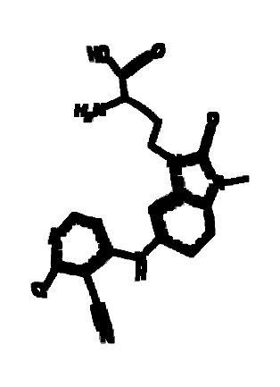 Cn1c(=O)n(CCC(N)C(=O)O)c2cc(Nc3ccnc(Cl)c3C#N)ccc21